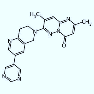 Cc1cc(=O)n2nc(N3CCc4ncc(-c5cncnc5)cc4C3)c(C)cc2n1